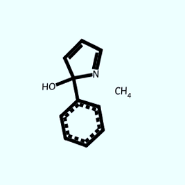 C.OC1(c2ccccc2)C=CC=N1